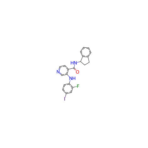 O=C(NC1CCc2ccccc21)c1ccncc1Nc1ccc(I)cc1F